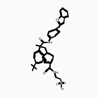 CC(C)(C)c1ccc(C(C)(Cc2ccc(C(=O)NCCS(=O)(=O)O)cc2)C(=O)Nc2ccc(-c3cc4ccccc4o3)cc2)cc1